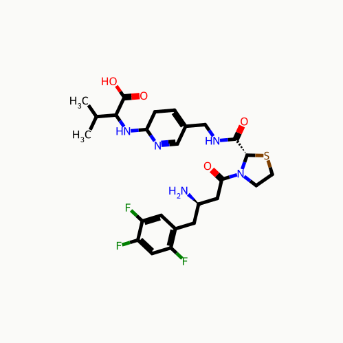 CC(C)C(NC1CC=C(CNC(=O)[C@@H]2SCCN2C(=O)C[C@H](N)Cc2cc(F)c(F)cc2F)C=N1)C(=O)O